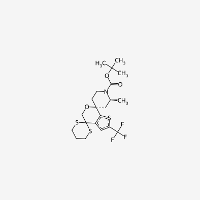 C[C@H]1C[C@@]2(CCN1C(=O)OC(C)(C)C)OCC1(SCCCS1)c1cc(C(F)(F)F)sc12